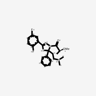 CO[C@@H](C)C(=O)N1N=C(c2cc(F)ccc2F)SC1(CCN(C)C)c1ccccc1